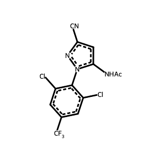 CC(=O)Nc1cc(C#N)nn1-c1c(Cl)cc(C(F)(F)F)cc1Cl